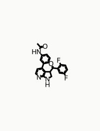 CC(=O)Nc1cccc(-c2ccnc3c2C(C(=O)c2cc(F)ccc2F)CN3)c1